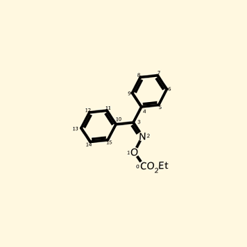 CCOC(=O)ON=C(c1ccccc1)c1ccccc1